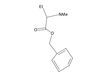 CCC(NC)C(=O)OCc1ccccc1